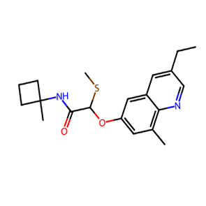 CCc1cnc2c(C)cc(OC(SC)C(=O)NC3(C)CCC3)cc2c1